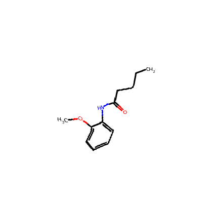 [CH2]CCCC(=O)Nc1ccccc1OC